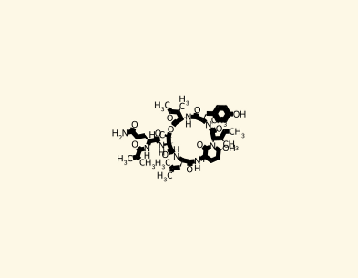 CC[C@H](C)[C@@H]1NC(=O)[C@H](Cc2ccc(O)cc2)N(C)C(=O)[C@H]([C@@H](C)CC)N2C(=O)[C@H](CC[C@H]2O)NC(=O)[C@H](CC(C)C)NC(=O)[C@@H](NC(=O)[C@H](CCC(N)=O)NC(=O)C(C)C)[C@@H](C)OC1=O